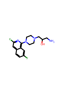 NCC(O)CN1CCN(c2nc(F)cc3ccc(F)cc23)CC1